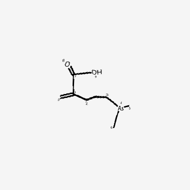 C=C(CC[As](C)C)C(=O)O